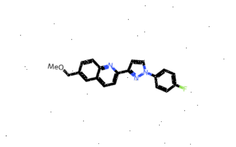 COCc1ccc2nc(-c3ccn(-c4ccc(F)cc4)n3)ccc2c1